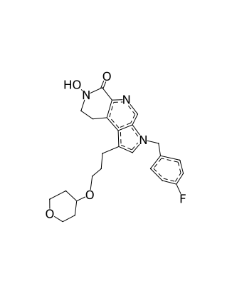 O=C1c2ncc3c(c(CCCOC4CCOCC4)cn3Cc3ccc(F)cc3)c2CCN1O